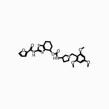 COc1cc(OC)c(CN2CCC(NC(=O)OC3CCCc4sc(NC(=O)c5ccco5)nc43)C2)c(OC)c1